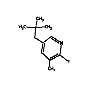 Cc1cc(CC(C)(C)C)cnc1F